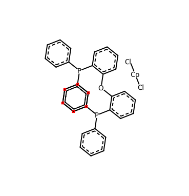 [Cl][Co][Cl].c1ccc(P(c2ccccc2)c2ccccc2Oc2ccccc2P(c2ccccc2)c2ccccc2)cc1